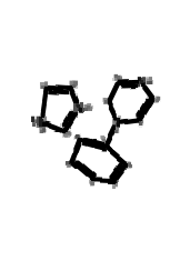 C1=CN(c2ccccc2)CC=N1.c1c[nH]cn1